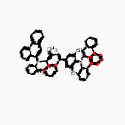 Cc1cc(-c2cc(C)c(N(c3ccccc3-c3ccccc3)c3cc4ccccc4c4ccccc34)c(C)c2)cc(C)c1N(c1ccccc1-c1ccccc1)c1cc2ccccc2c2ccccc12